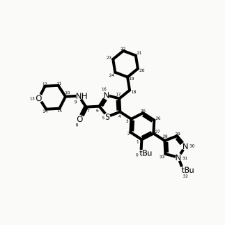 CC(C)(C)c1cc(-c2sc(C(=O)NC3CCOCC3)nc2CC2CCCCC2)ccc1-c1cnn(C(C)(C)C)c1